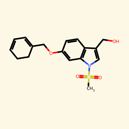 CS(=O)(=O)n1cc(CO)c2ccc(OCC3=CC=CCC3)cc21